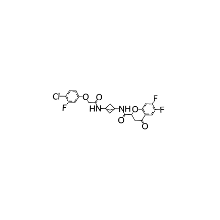 O=C(COc1ccc(Cl)c(F)c1)NC12CC(NC(=O)C3CC(=O)c4cc(F)c(F)cc4O3)(C1)C2